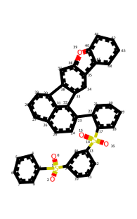 O=S(=O)(c1ccccc1)c1cccc(S(=O)(=O)c2ccccc2-c2ccc3cccc4c3c2-c2cc3c(cc2-4)oc2ccccc23)c1